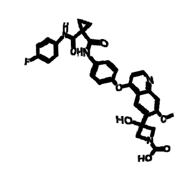 COc1cc2nccc(Oc3ccc(NC(=O)C4(C(=O)Nc5ccc(F)cc5)CC4)cc3)c2cc1C1(O)CN(C(=O)O)C1